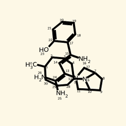 CC1CCCC(N2C3CCC2CN(C(/C=C(\N)c2ccccc2O)=C(N)N)C3)CCC1